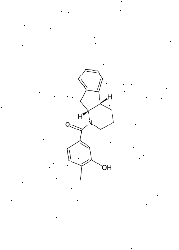 Cc1ccc(C(=O)N2CCC[C@H]3c4ccccc4C[C@H]32)cc1O